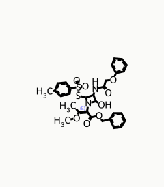 CO/C(C)=C(\C(=O)OCc1ccccc1)N1C(O)C(NC(=O)COc2ccccc2)C1SS(=O)(=O)c1ccc(C)cc1